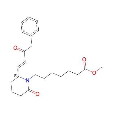 COC(=O)CCCCCCN1C(=O)CCC[C@@H]1C=CC(=O)Cc1ccccc1